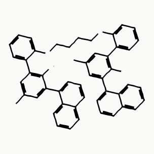 Cc1cc(-c2ccccc2SCCCCSc2ccccc2-c2cc(C)cc(-c3cccc4ccccc34)c2O)c(O)c(-c2cccc3ccccc23)c1